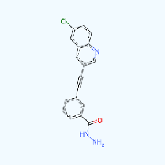 NNC(=O)c1cccc(C#Cc2cnc3ccc(Cl)cc3c2)c1